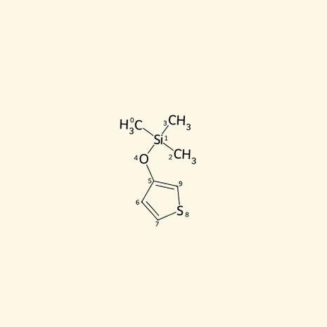 C[Si](C)(C)Oc1ccsc1